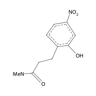 CNC(=O)CCc1ccc([N+](=O)[O-])cc1O